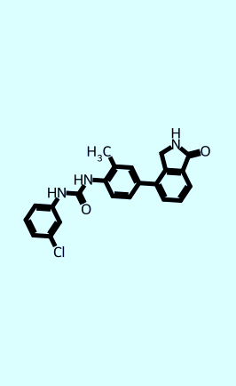 Cc1cc(-c2cccc3c2CNC3=O)ccc1NC(=O)Nc1cccc(Cl)c1